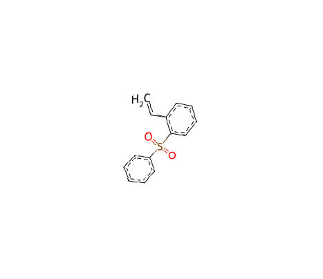 C=Cc1ccccc1S(=O)(=O)c1ccccc1